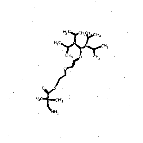 CC(C)N(C(C)C)P(OCCOCCSC(=O)C(C)(C)CN)N(C(C)C)C(C)C